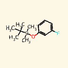 CC(C)(C)[Si](C)(C)Oc1[c]ccc(F)c1